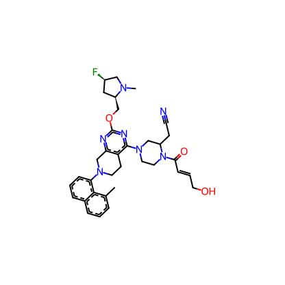 Cc1cccc2cccc(N3CCc4c(nc(OC[C@H]5C[C@@H](F)CN5C)nc4N4CCN(C(=O)/C=C/CO)C(CC#N)C4)C3)c12